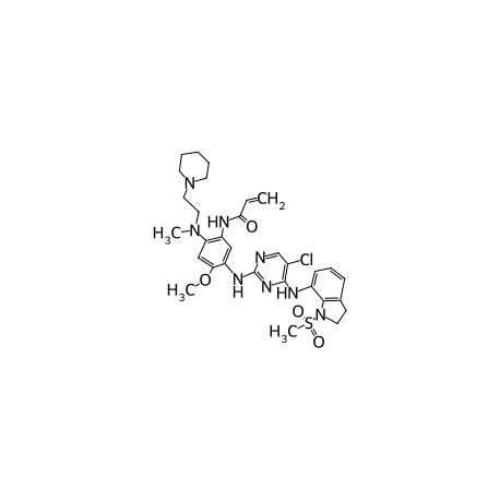 C=CC(=O)Nc1cc(Nc2ncc(Cl)c(Nc3cccc4c3N(S(C)(=O)=O)CC4)n2)c(OC)cc1N(C)CCN1CCCCC1